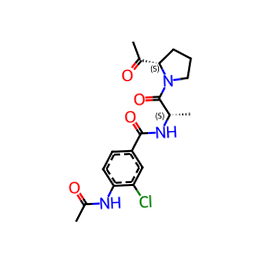 CC(=O)Nc1ccc(C(=O)N[C@@H](C)C(=O)N2CCC[C@H]2C(C)=O)cc1Cl